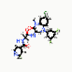 CN1C(=O)[C@H](NC(=O)C(C)(C)NC(=O)c2ccnc(F)c2)CN(c2cc(F)cc(F)c2)c2ccc(Cl)cc21